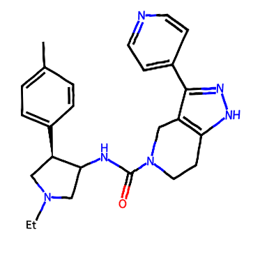 CCN1CC(NC(=O)N2CCc3[nH]nc(-c4ccncc4)c3C2)[C@H](c2ccc(C)cc2)C1